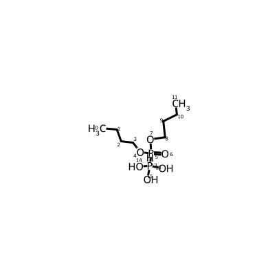 CCCCOP(=O)(OCCCC)[PH](O)(O)O